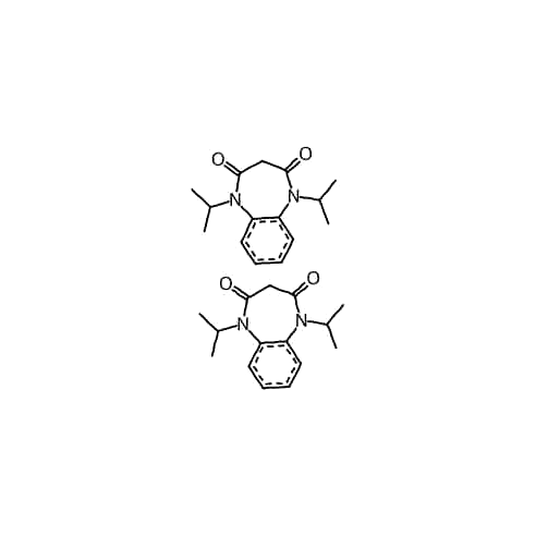 CC(C)N1C(=O)CC(=O)N(C(C)C)c2ccccc21.CC(C)N1C(=O)CC(=O)N(C(C)C)c2ccccc21